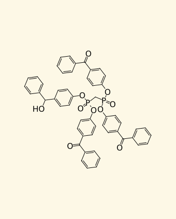 O=C(c1ccccc1)c1ccc(OP(=O)(CP(=O)(Oc2ccc(C(=O)c3ccccc3)cc2)Oc2ccc(C(O)c3ccccc3)cc2)Oc2ccc(C(=O)c3ccccc3)cc2)cc1